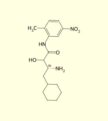 Cc1ccc([N+](=O)[O-])cc1NC(=O)C(O)[C@H](N)CC1CCCCC1